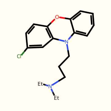 CCN(CC)CCCN1c2ccccc2Oc2ccc(Cl)cc21